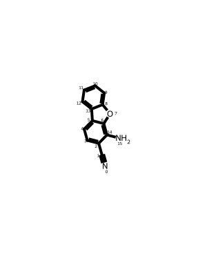 N#Cc1ccc2c(oc3ccccc32)c1N